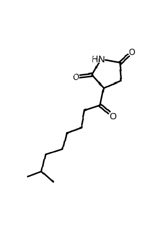 CC(C)CCCCCC(=O)C1CC(=O)NC1=O